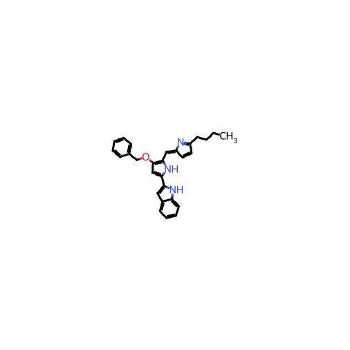 CCCCC1=NC(=Cc2[nH]c(-c3cc4ccccc4[nH]3)cc2OCc2ccccc2)C=C1